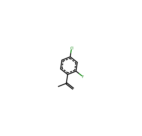 C=C(C)c1ccc(Cl)cc1F